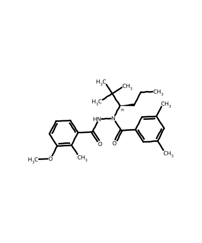 CCC[C@@H](N(NC(=O)c1cccc(OC)c1C)C(=O)c1cc(C)cc(C)c1)C(C)(C)C